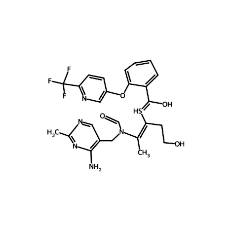 C/C(=C(CCO)/[SH]=C(\O)c1ccccc1Oc1ccc(C(F)(F)F)nc1)N(C=O)Cc1cnc(C)nc1N